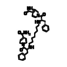 NC(=O)C1=CCN(C(=O)C(Cc2ccccc2)NCCCCCCCCNC(Cc2ccccc2)C(=O)N2C=CC(C(N)=O)=CC2)C=C1